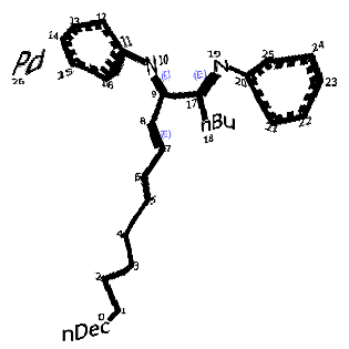 CCCCCCCCCCCCCCCC/C=C/C(=N\c1ccccc1)C(/CCCC)=N/c1ccccc1.[Pd]